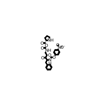 O=C(NCCC(=O)C(Cc1ccccc1)NC(=O)Oc1ccc([N+](=O)[O-])cc1)OC(=O)[C@@H]1CCCN1